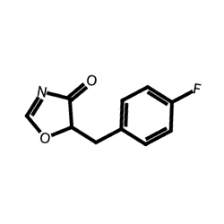 O=C1N=COC1Cc1ccc(F)cc1